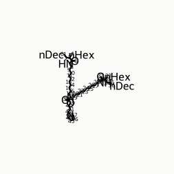 CCCCCCCCCCCCC(CCCCCC)C(=O)NCCCCCCCCCCN(CCCCCCCCCCNC(=O)C(CCCCCC)CCCCCCCCCCCC)C(=O)OCCCN1CCCC1